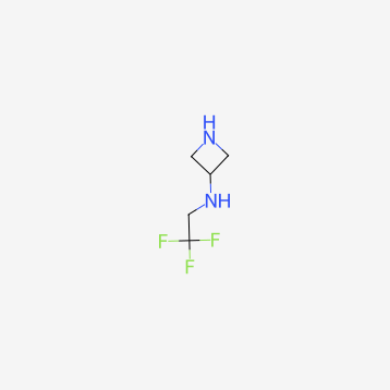 FC(F)(F)CNC1CNC1